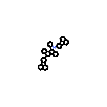 C1=c2cccc3c2=C(CC1)c1ccc(-c2cc4c5ccccc5c5c(c6ccccc6n5-c5ccc6c(c5)-c5cccc7cccc-6c57)c4c4ccccc24)cc1-3